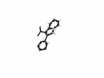 CC(C)c1c(-c2ccccc2)nn2ccccc12